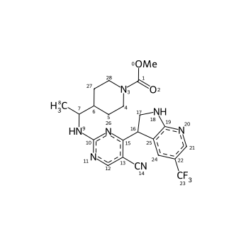 COC(=O)N1CCC(C(C)Nc2ncc(C#N)c(C3CNc4ncc(C(F)(F)F)cc43)n2)CC1